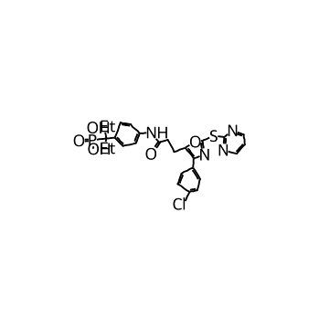 CCC(CC)(c1ccc(NC(=O)CCc2oc(Sc3ncccn3)nc2-c2ccc(Cl)cc2)cc1)P(=O)(O)O